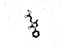 COC(=O)CCN1C(=O)N(c2ccccc2)CC1C